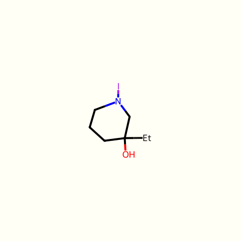 CCC1(O)CCCN(I)C1